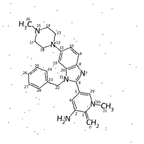 C=C1C(N)=CC(c2nc3ccc(N4CCN(C)CC4)cc3n2Cc2ccccc2)=CN1C